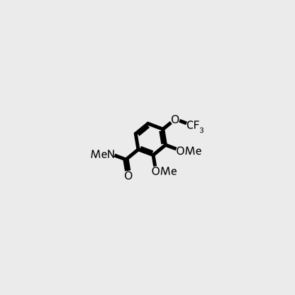 CNC(=O)c1ccc(OC(F)(F)F)c(OC)c1OC